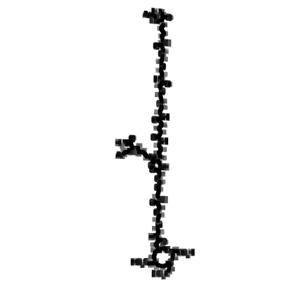 CC(=O)CN[C@@H](CCCCNC(=O)COCCOCCNC(=O)COCCOCCNC(=O)CCCC(=O)NCCCC[C@H](NC(=O)COCOCCNC(=O)COCCOCCNC(=O)CN1CCN(CC(=O)O)CCN(CC(=O)O)CCN(CC(=O)O)CC1)C(=O)NCCCC[C@@H](NCC(C)=O)C(N)=O)C(N)=O